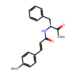 COC(=O)[C@H](Cc1ccccc1)NC(=O)/C=C/c1ccc(OC)cc1